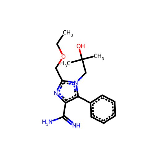 CCOCc1nc(C(=N)N)c(-c2ccccc2)n1CC(C)(C)O